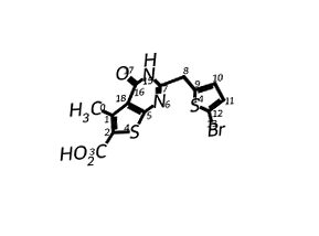 Cc1c(C(=O)O)sc2nc(Cc3ccc(Br)s3)[nH]c(=O)c12